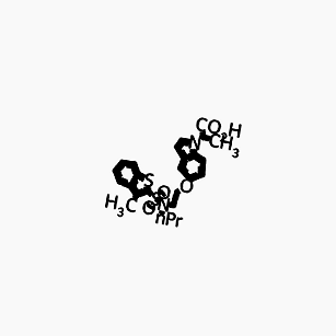 CCCN(CCOc1ccc2c(ccn2C(C)C(=O)O)c1)S(=O)(=O)c1sc2ccccc2c1C